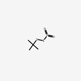 CC(C)(C)SSP(=O)=O